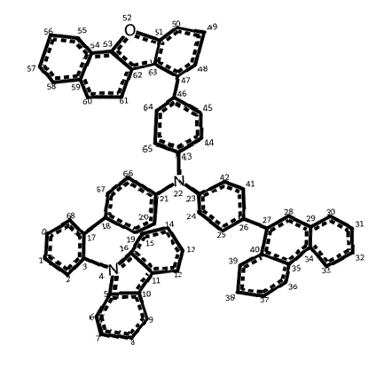 c1ccc(-n2c3ccccc3c3ccccc32)c(-c2ccc(N(c3ccc(-c4cc5ccccc5c5ccccc45)cc3)c3ccc(-c4cccc5oc6c7ccccc7ccc6c45)cc3)cc2)c1